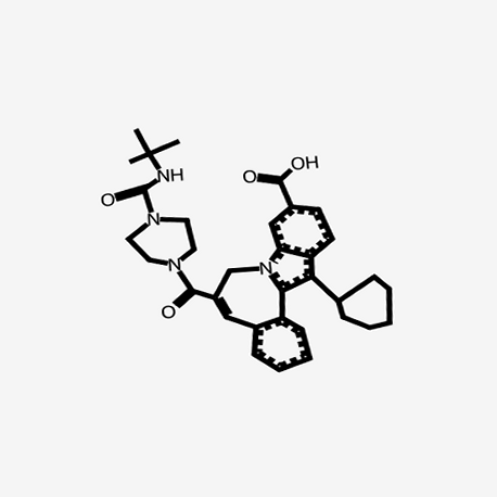 CC(C)(C)NC(=O)N1CCN(C(=O)C2=Cc3ccccc3-c3c(C4CCCCC4)c4ccc(C(=O)O)cc4n3C2)CC1